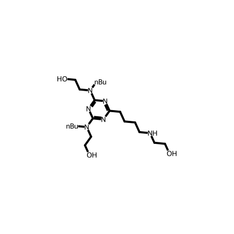 CCCCN(CCO)c1nc(CCCCNCCO)nc(N(CCO)CCCC)n1